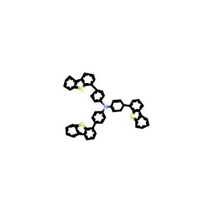 C1=CC(c2cccc3c2sc2ccccc23)CC=C1N(c1ccc(-c2cccc3c2sc2ccccc23)cc1)c1ccc(-c2cccc3c2sc2ccccc23)cc1